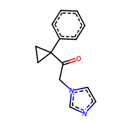 O=C(Cn1ccnc1)C1(c2ccccc2)CC1